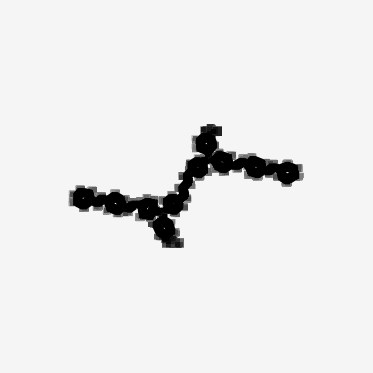 CCCCc1ccc(N(c2ccc(/C=C/C=C/c3ccc(N(c4ccc(/C=C/c5ccc(/C=C/c6ccccc6)cc5)cc4)c4ccc(CCCC)cc4)cc3)cc2)c2ccc(/C=C/c3ccc(/C=C/c4ccccc4)cc3)cc2)cc1